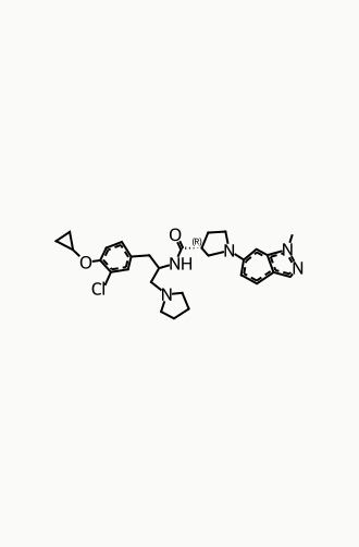 Cn1ncc2ccc(N3CC[C@@H](C(=O)NC(Cc4ccc(OC5CC5)c(Cl)c4)CN4CCCC4)C3)cc21